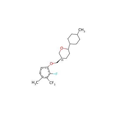 Cc1ccc(OC[C@@H]2CCC(C3CCC(C)CC3)OC2)c(F)c1C(F)(F)F